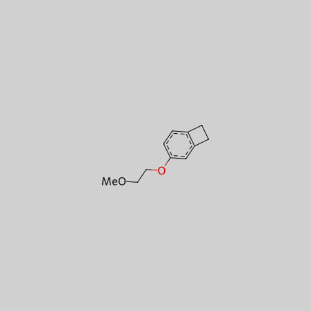 COCCOc1ccc2c(c1)CC2